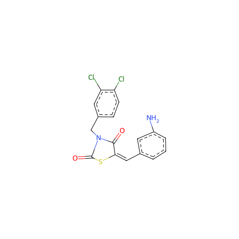 Nc1cccc(C=C2SC(=O)N(Cc3ccc(Cl)c(Cl)c3)C2=O)c1